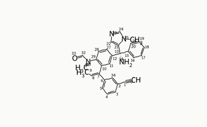 C#Cc1cccc(/C(=C/C)c2cc([C@](N)(c3ccccc3)c3cncn3C)ccc2N(C)C=O)c1